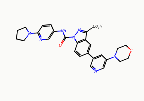 O=C(O)c1nn(C(=O)Nc2ccc(N3CCCC3)nc2)c2ccc(-c3cncc(N4CCOCC4)c3)cc12